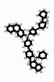 c1ccc(-n2c3cc(-c4ccc(N(c5ccc(-c6ccc7sc8ccccc8c7c6)cc5)c5ccc6c(ccc7ccccc76)c5)cc4)ccc3c3ccc4ccccc4c32)cc1